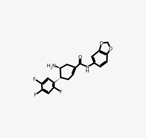 N[C@H]1CC(C(=O)Nc2ccc3c(c2)OCO3)=CC[C@@H]1c1cc(F)c(F)cc1F